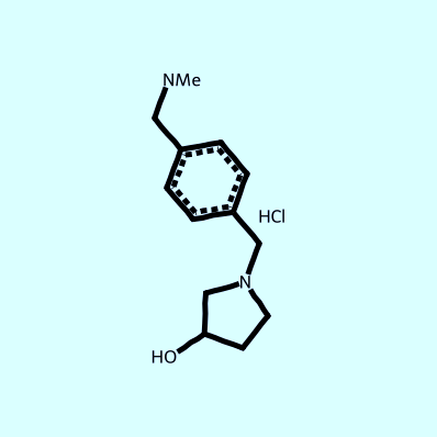 CNCc1ccc(CN2CCC(O)C2)cc1.Cl